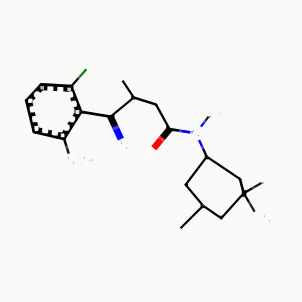 CCC1(C#N)CC(C)CC(N(C(=O)CC(C)C(=N)c2c(Cl)cccc2NC)C(C)C)C1